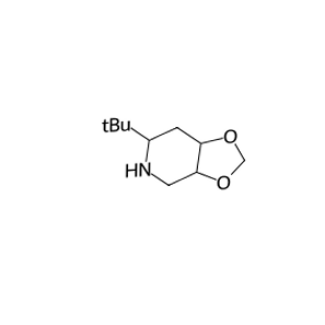 CC(C)(C)C1CC2OCOC2CN1